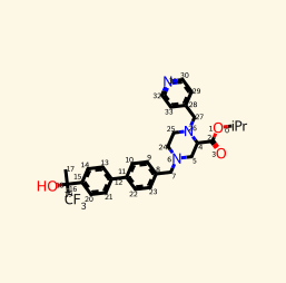 CC(C)OC(=O)C1CN(Cc2ccc(-c3ccc(C(C)(O)C(F)(F)F)cc3)cc2)CCN1Cc1ccncc1